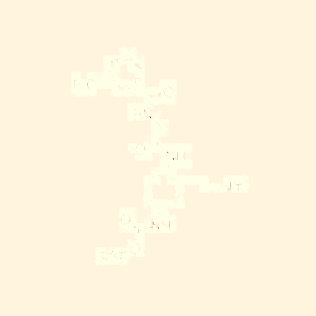 CC(C)CC[C@@H]1C[C@H](NC(=O)OC(C)(C)C)CC[C@@H]1NC(=O)CNC(=O)c1cccc(C(F)(F)F)c1